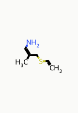 C=CSC/C(C)=C\N